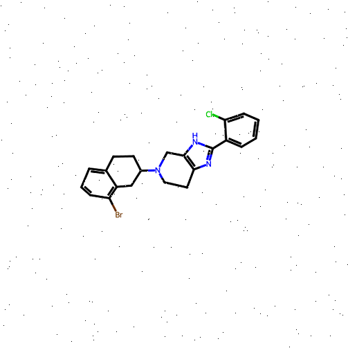 Clc1ccccc1-c1nc2c([nH]1)CN(C1CCc3cccc(Br)c3C1)CC2